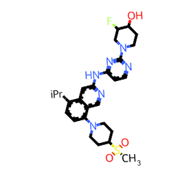 CC(C)c1ccc(N2CCC(S(C)(=O)=O)CC2)c2cnc(Nc3ccnc(N4CCC(O)C(F)C4)n3)cc12